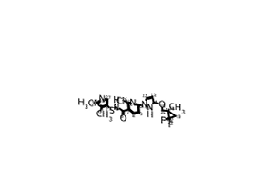 Cc1c(SNC(=O)c2ccc(N3C=CC(OCC4(C)CC4(F)F)N3)nc2Cl)cnn1C